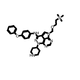 C[Si](C)(C)CCOCn1cc2c3c(ncnc31)N(C1CCNCC1)N=C2Nc1ccc(Oc2ccccc2)cc1